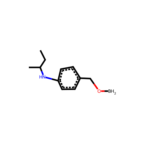 BOCc1ccc(NC(C)CC)cc1